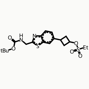 CCS(=O)(=O)OC1CC(c2ccc3nc(CNC(=O)OC(C)(C)C)sc3c2)C1